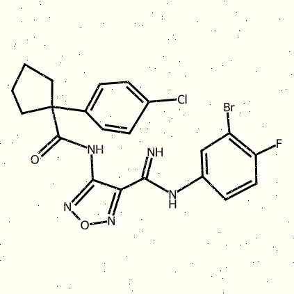 N=C(Nc1ccc(F)c(Br)c1)c1nonc1NC(=O)C1(c2ccc(Cl)cc2)CCCC1